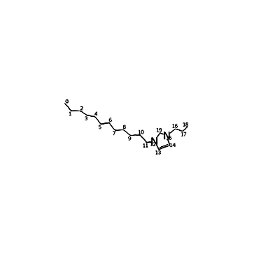 CCCCCCCCCCCCN1C=CN(CCC)C1